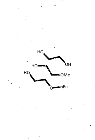 CCCCOCCO.COCCO.OCCO